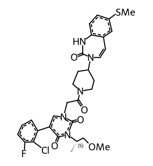 COC[C@H](C)n1c(=O)c(-c2cccc(F)c2Cl)cn(CC(=O)N2CCC(N3C=Cc4cc(SC)ccc4NC3=O)CC2)c1=O